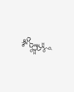 COCCC(=O)Nc1ccc2c(c1)Nc1cc(-c3ccccc3N(C)S(C)(=O)=O)ccc1C(=O)N2